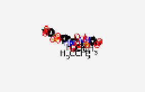 CC(C)C(NC[C@@H](O)[C@H](Cc1ccc(OS(=O)(=O)c2ccc3c(c2)OCO3)cc1)NC(=O)OC(C)(C)C)S(=O)(=O)c1ccc2c(c1)OCO2